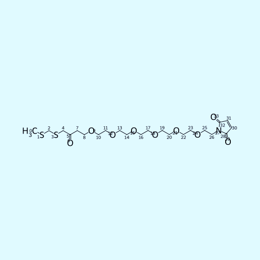 CSCSCC(=O)CCOCCOCCOCCOCCOCCOCCN1C(=O)C=CC1=O